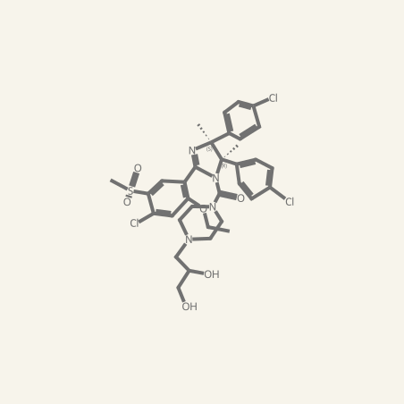 CCOc1cc(Cl)c(S(C)(=O)=O)cc1C1=N[C@@](C)(c2ccc(Cl)cc2)[C@@](C)(c2ccc(Cl)cc2)N1C(=O)N1CCN(CC(O)CO)CC1